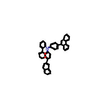 c1ccc(-c2ccccc2N(c2ccc(-c3ccc4ccccc4c3)cc2)c2ccc(-c3cc4ccccc4c4ccccc34)cc2)cc1